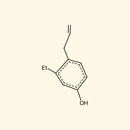 C=CCc1ccc(O)cc1CC